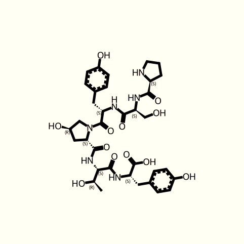 C[C@@H](O)[C@H](NC(=O)[C@@H]1C[C@@H](O)CN1C(=O)[C@H](Cc1ccc(O)cc1)NC(=O)[C@H](CO)NC(=O)[C@@H]1CCCN1)C(=O)N[C@@H](Cc1ccc(O)cc1)C(=O)O